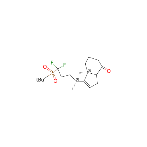 C[C@H](CCC(F)(F)S(=O)(=O)C(C)(C)C)C1=CCC2C(=O)CCC[C@]12C